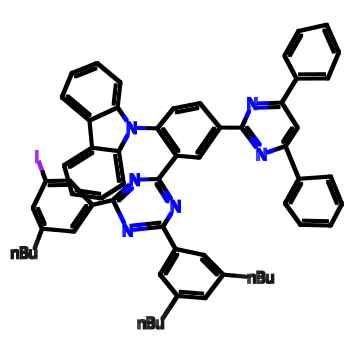 CCCCc1cc(I)cc(-c2nc(-c3cc(CCCC)cc(CCCC)c3)nc(-c3cc(-c4nc(-c5ccccc5)cc(-c5ccccc5)n4)ccc3-n3c4ccccc4c4ccccc43)n2)c1